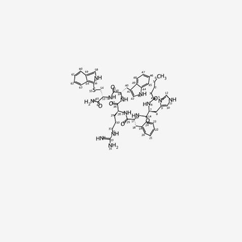 CCCCC(=O)N[C@@H](Cc1c[nH]cn1)C(=O)N[C@H](Cc1ccccc1)C(=O)N[C@@H](CCCNC(=N)N)C(=O)N[C@@H](Cc1c[nH]c2ccccc12)C(=O)N[C@@H](CSc1[nH]cc2ccccc12)C(N)=O